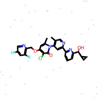 Cc1cnc(-c2cccc([C@@H](O)C3CC3)n2)cc1-n1c(C)cc(OCc2ncc(F)cc2F)c(Cl)c1=O